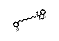 COc1cccc(CCCCCCCCNc2ncnc3ccccc23)c1